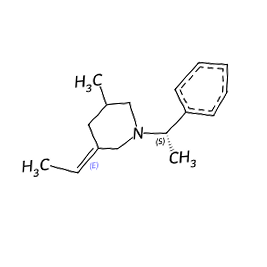 C/C=C1\CC(C)CN([C@@H](C)c2ccccc2)C1